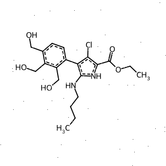 CCCCNc1[nH]c(C(=O)OCC)c(Cl)c1-c1ccc(CO)c(CO)c1CO